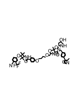 Cc1ncoc1-c1ccc(CN(C(=O)[C@@H]2C[C@@H](O)CN2)C(=O)[C@@H](NC(=O)COCCCCOc2ccc(C(=O)N[C@H]3C(C)(C)[C@H](Oc4ccc(C#N)c(C(F)(F)F)c4)C3(C)C)cc2)C(C)(C)C)cc1